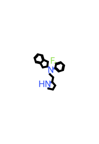 Fc1ccccc1N(CCC1CCCN1)C1Cc2ccccc2C1